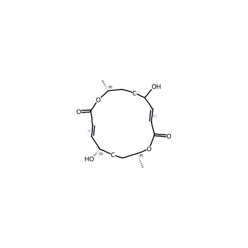 C[C@@H]1CCC(O)/C=C/C(=O)O[C@H](C)CC[C@H](O)/C=C/C(=O)O1